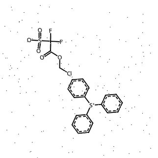 O=C(OCCl)C(F)(F)S(=O)(=O)[O-].c1ccc([S+](c2ccccc2)c2ccccc2)cc1